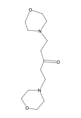 O=C(CCN1CCOCC1)CCN1CCOCC1